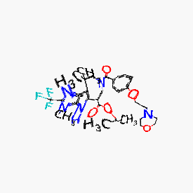 CC(C)OC(=O)C1=CN(C(=O)c2ccc(OCCN3CCOCC3)cc2)CC(C)(C)c2c1[nH]c1c2nc(C(F)(F)F)n1C